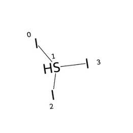 I[SH](I)I